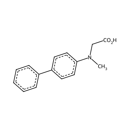 CN(CC(=O)O)c1ccc(-c2ccccc2)cc1